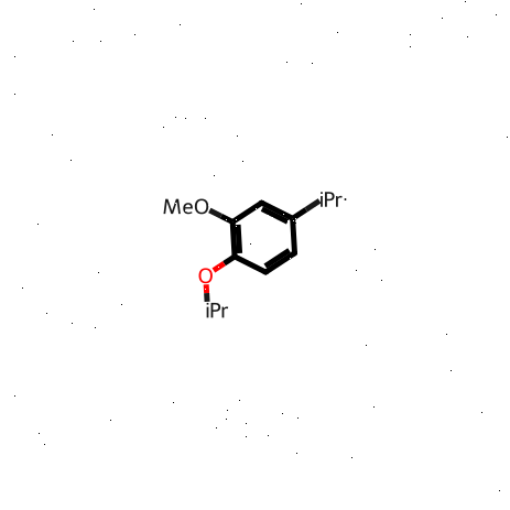 COc1cc([C](C)C)ccc1OC(C)C